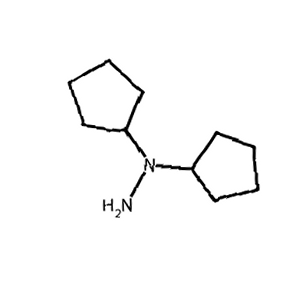 NN(C1CCCC1)C1CCCC1